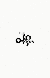 CCOC1(C(CCN)Cc2ccccc2)CCCC[Si]1(OCC)OCC